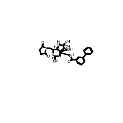 N=C1N[C@H]2C(CN3C(=O)CCC3=O)NC(=N)N3CC(NC(=O)c4cccc(-c5ccccc5)c4)C(O)(O)[C@]23N1